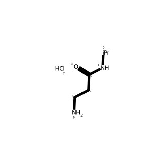 CC(C)NC(=O)CCN.Cl